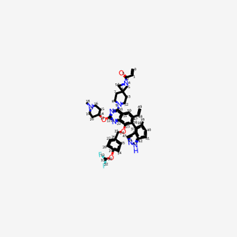 C=CC(=O)N1CC2(CCN(c3nc(OC4CCN(C)CC4)nc4c(OCc5ccc(OC(F)F)cc5)c(-c5c(C)ccc6[nH]ncc56)c(C=C)cc34)CC2)C1